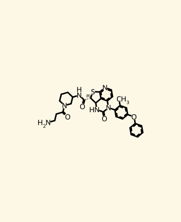 Cc1cc(Oc2ccccc2)ccc1N1C(=O)NC2c3c1ccnc3S[C@H]2C(=O)NC1CCCN(C(=O)CCN)C1